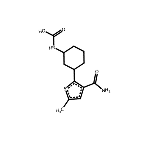 Cc1cc(C(N)=O)c(C2CCCC(NC(=O)O)C2)s1